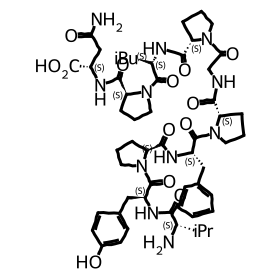 CC[C@H](C)[C@H](NC(=O)[C@@H]1CCCN1C(=O)CNC(=O)[C@@H]1CCCN1C(=O)[C@H](Cc1ccccc1)NC(=O)[C@@H]1CCCN1C(=O)[C@H](Cc1ccc(O)cc1)NC(=O)[C@@H](N)C(C)C)C(=O)N1CCC[C@H]1C(=O)N[C@@H](CC(N)=O)C(=O)O